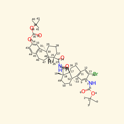 CC(C)(C)OC(=O)Nc1cc2c(cc1Br)CC[C@H]1[C@@](C)(C(=O)NC(=O)[C@@]3(C)CCC[C@]4(C)c5cc(OC(=O)OC(C)(C)C)ccc5CC[C@@H]34)CCC[C@]21C